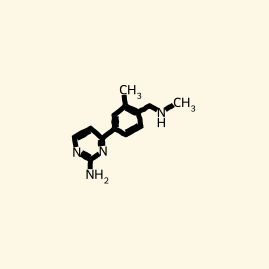 CNCc1ccc(-c2ccnc(N)n2)cc1C